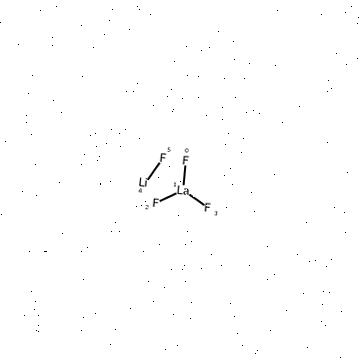 [F][La]([F])[F].[Li][F]